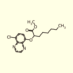 CCCCCCC(Oc1ccc(Cl)c2nccnc12)C(=O)OC